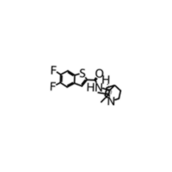 CC1(C)[C@@H](NC(=O)c2cc3cc(F)c(F)cc3s2)C2CCN1CC2